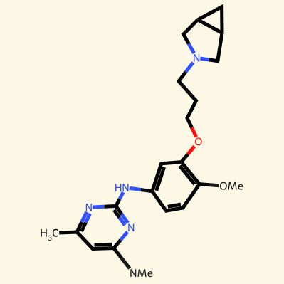 CNc1cc(C)nc(Nc2ccc(OC)c(OCCCN3CC4CC4C3)c2)n1